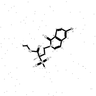 CCOC(=O)[C@@](C)(CCn1ccc2cc(Br)ccc2c1=O)S(C)(=O)=O